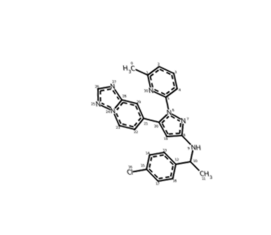 Cc1cccc(-n2nc(NC(C)c3ccc(Cl)cc3)cc2-c2ccn3ncnc3c2)n1